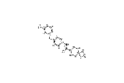 O=C(Nc1ccc(Cc2cccc(Cl)c2)cn1)N1CCC2(CC1)COC2